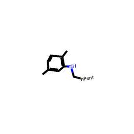 CCCCCCNc1cc(C)ccc1C